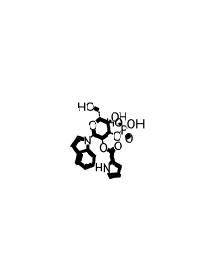 O=C(O[C@@H]1[C@@H](OP(=O)(O)O)[C@H](O)[C@@H](CO)O[C@H]1n1ccc2ccccc21)c1ccc[nH]1